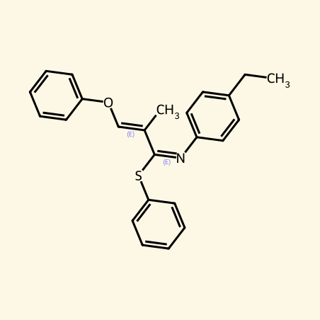 CCc1ccc(/N=C(Sc2ccccc2)\C(C)=C\Oc2ccccc2)cc1